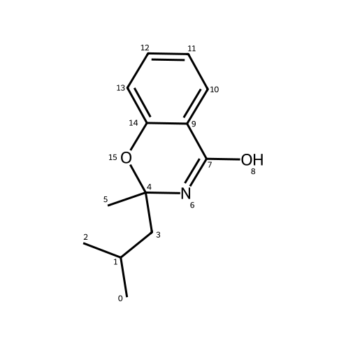 CC(C)CC1(C)N=C(O)c2ccccc2O1